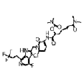 CN(C)C(=O)/C=C/CC[C@H](OC(=O)N(C)C)C(=O)Nc1ccc(Cl)n(Cc2nc3c(F)cnc(CCC(F)(F)F)c3[nH]2)c1=O